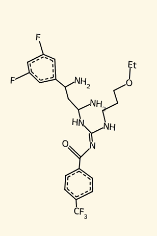 CCOCCCN/C(=N/C(=O)c1ccc(C(F)(F)F)cc1)NC(N)CC(N)c1cc(F)cc(F)c1